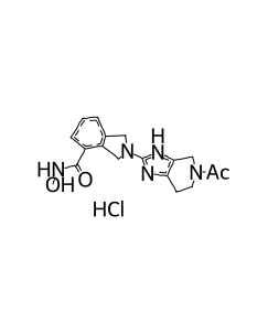 CC(=O)N1CCc2nc(N3Cc4cccc(C(=O)NO)c4C3)[nH]c2C1.Cl